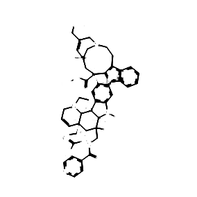 CCC1=C[C@@H]2CN(CCc3c([nH]c4ccccc34)[C@@](C(=O)OC)(c3cc4c(cc3OC)N(C)[C@H]3C(O)(CNC(=O)c5ccncc5)[C@H](OC(C)=O)[C@]5(CC)C=CCN6CC[C@]43C65)C2)C1